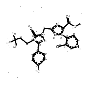 COC(=O)c1nc(Cn2nc(-c3ccc(Cl)cc3)n(CCC(F)(F)F)c2=O)nn1-c1ccncc1Cl